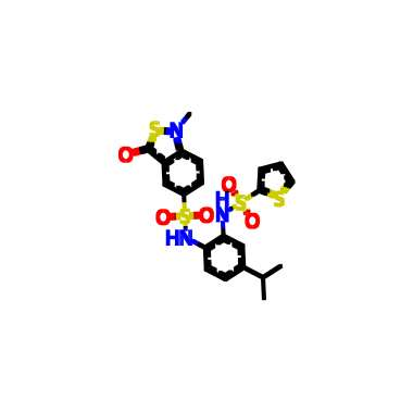 CC(C)c1ccc(NS(=O)(=O)c2ccc3c(c2)c(=O)sn3C)c(NS(=O)(=O)c2cccs2)c1